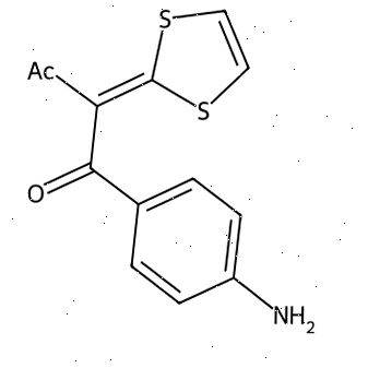 CC(=O)C(C(=O)c1ccc(N)cc1)=C1SC=CS1